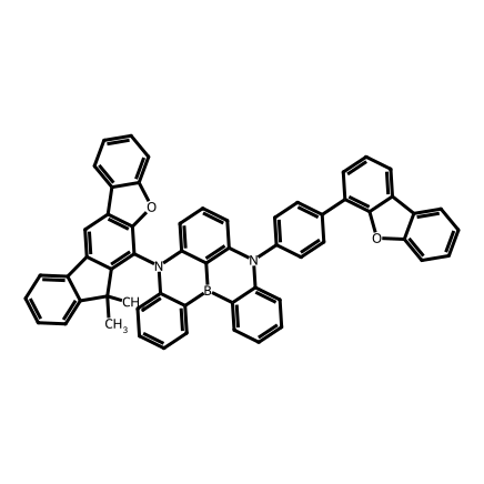 CC1(C)c2ccccc2-c2cc3c(oc4ccccc43)c(N3c4ccccc4B4c5ccccc5N(c5ccc(-c6cccc7c6oc6ccccc67)cc5)c5cccc3c54)c21